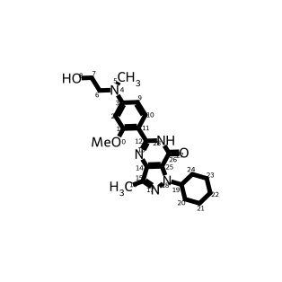 COc1cc(N(C)CCO)ccc1-c1nc2c(C)nn(C3CCCCC3)c2c(=O)[nH]1